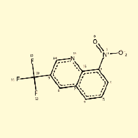 O=[N+]([O-])c1cccc2cc(C(F)(F)F)cnc12